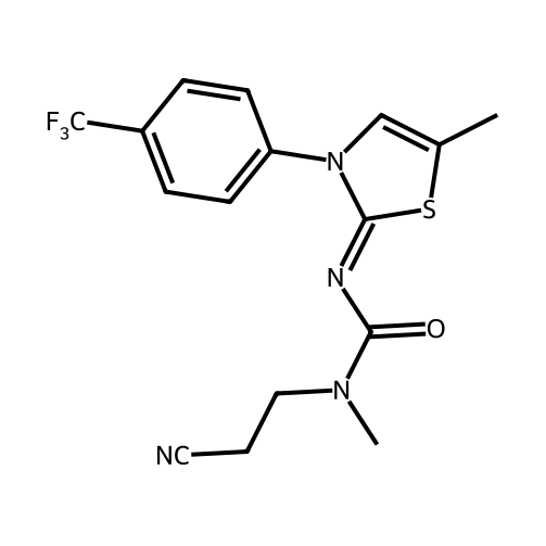 Cc1cn(-c2ccc(C(F)(F)F)cc2)c(=NC(=O)N(C)CCC#N)s1